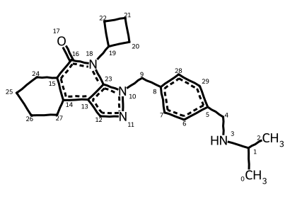 CC(C)NCc1ccc(Cn2ncc3c4c(c(=O)n(C5CCC5)c32)CCCC4)cc1